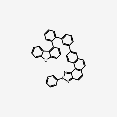 c1ccc(-n2nc3ccc4ccc5cc(-c6cccc(-c7ccccc7-c7cccc8oc9ccccc9c78)c6)ccc5c4c3n2)cc1